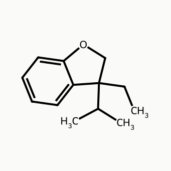 CCC1(C(C)C)COc2ccccc21